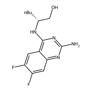 CCCC[C@H](CO)Nc1nc(N)nc2cc(F)c(F)cc12